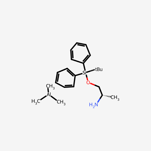 C[C@H](N)CO[Si](c1ccccc1)(c1ccccc1)C(C)(C)C.[CH3][Al]([CH3])[CH3]